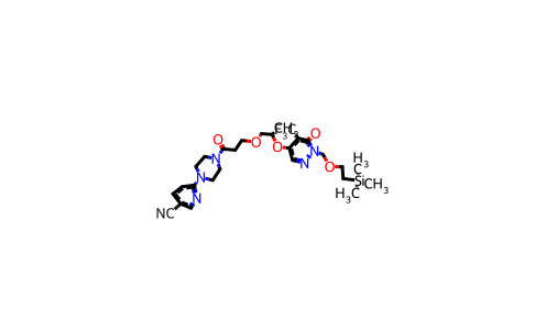 CC(COCCC(=O)N1CCN(c2ccc(C#N)cn2)CC1)Oc1cnn(COCC[Si](C)(C)C)c(=O)c1C(F)(F)F